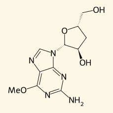 COc1nc(N)nc2c1ncn2[C@@H]1O[C@H](CO)C[C@H]1O